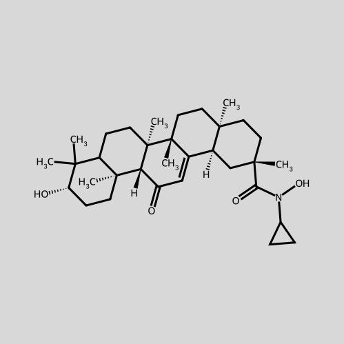 CC1(C)C2CC[C@]3(C)[C@H](C(=O)C=C4[C@@H]5C[C@@](C)(C(=O)N(O)C6CC6)CC[C@]5(C)CC[C@]43C)[C@@]2(C)CC[C@@H]1O